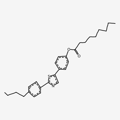 CCCCCCCCC(=O)Oc1ccc(-c2cnc(-c3ccc(CCCC)cc3)s2)cc1